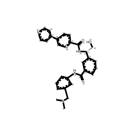 CN(C)Cc1cccc(NC(=O)c2cccc([C@@H](CO)NC(=O)c3ccc(-c4ccncc4)cn3)c2)c1